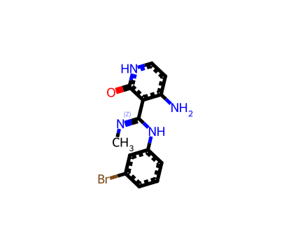 C/N=C(\Nc1cccc(Br)c1)c1c(N)cc[nH]c1=O